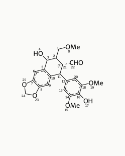 COCC1C(O)c2cc3c(cc2C(c2cc(OC)c(O)c(OC)c2)[C@H]1C=O)OCO3